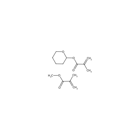 C=C(C)C(=O)OC.C=C(C)C(=O)OC1CCCCO1